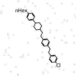 CCCCCCc1ccc(C2CCC(CCc3ccc(CCc4ccc(Cl)cc4)cc3)CC2)cc1